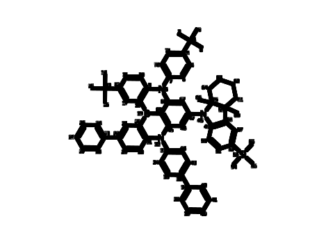 CC(C)(C)c1ccc(N2c3ccc(C(C)(C)C)cc3B3c4cc(-c5ccccc5)ccc4N(c4ccc(-c5ccccc5)cc4)c4cc(N5c6ccc([Si](C)(C)C)cc6C6(C)CCCCC56C)cc2c43)cc1